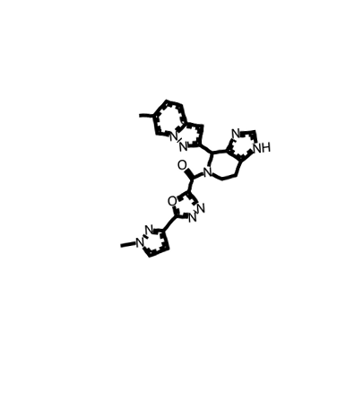 Cc1ccc2cc(C3c4nc[nH]c4CCN3C(=O)c3nnc(-c4ccn(C)n4)o3)nn2c1